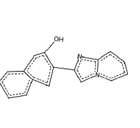 Oc1cc2ccccc2cc1-c1cn2ccccc2n1